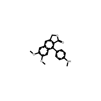 CNc1ccc(-c2c3c(cc4cc(OC)c(OC)cc24)COC3=O)cc1